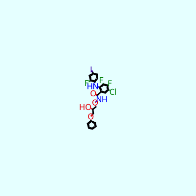 O=C(NOCC(O)COc1ccccc1)c1cc(Cl)c(F)c(F)c1Nc1ccc(I)cc1F